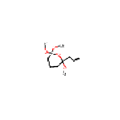 C=CCC1(OCC)CCC[Si](OCC)(OCC)O1